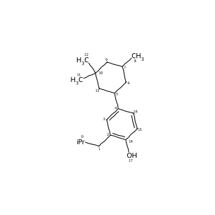 CC(C)Cc1cc(C2CC(C)CC(C)(C)C2)ccc1O